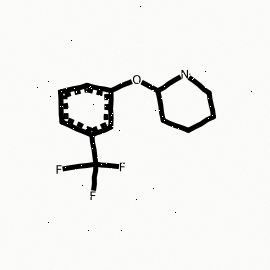 FC(F)(F)c1cccc(OC2CCCC[N]2)c1